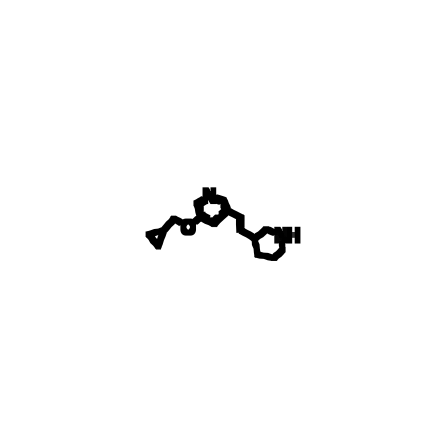 C(=CC1CCCNC1)c1cncc(OCC2CC2)c1